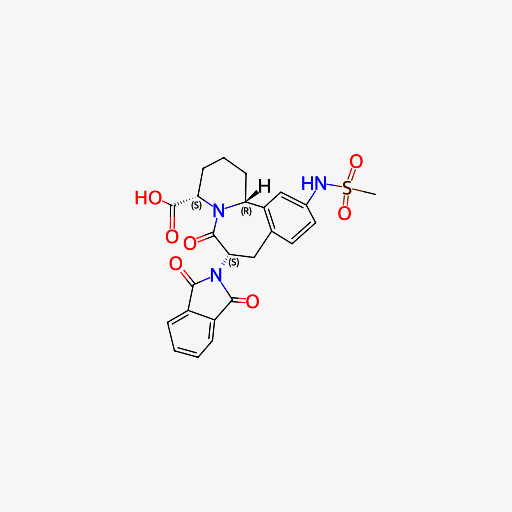 CS(=O)(=O)Nc1ccc2c(c1)[C@H]1CCC[C@@H](C(=O)O)N1C(=O)[C@@H](N1C(=O)c3ccccc3C1=O)C2